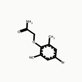 Cc1cc(Br)cc(C#N)c1OCC(N)=O